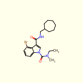 CCN(C)C(=O)n1cc(C(=O)NCC2CCCCCC2)c2c(Br)cccc21